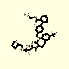 CCNC(=O)c1ccccc1-c1ccc(CN2C(=O)C(NC(=O)CC(C)(C)NCc3ccco3)CCc3cc(C(F)(F)F)ccc32)cc1